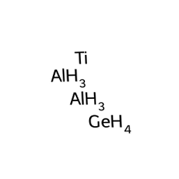 [AlH3].[AlH3].[GeH4].[Ti]